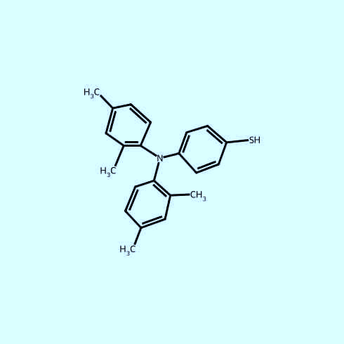 Cc1ccc(N(c2ccc(S)cc2)c2ccc(C)cc2C)c(C)c1